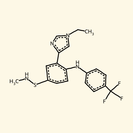 CCn1cnc(-c2cc(SNC)ccc2Nc2ccc(C(F)(F)F)cc2)c1